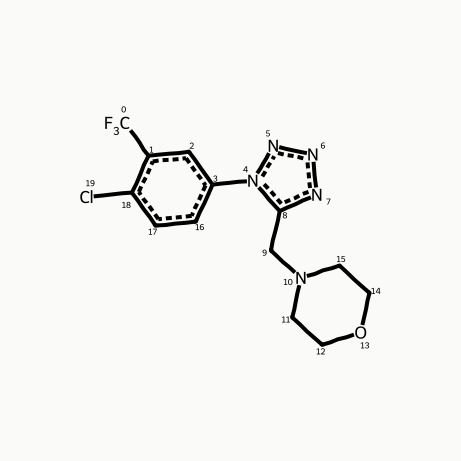 FC(F)(F)c1cc(-n2nnnc2CN2CCOCC2)ccc1Cl